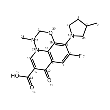 CC1CCN(c2c(F)cc3c(=O)c(C(=O)O)cn4c3c2OCN4C)C1